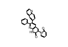 O=c1[nH]c2nc(-c3ccccc3)c(-c3ccc4ncccc4c3)cc2cc1-n1ccccc1=O